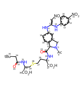 CC(=O)N1Cc2cc(N/C(=C/[N+](=O)[O-])Nc3ccc([N+](=O)[O-])cc3)ccc2C1C(=O)NC(CCSCC(NC(=O)CC(C)(C)C)C(=O)O)C(=O)O